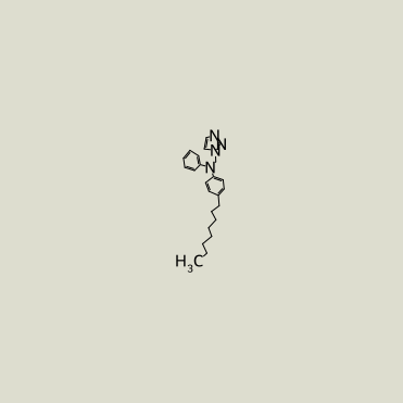 CCCCCCCCc1ccc(N(Cn2ccnn2)c2ccccc2)cc1